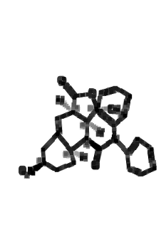 C[C@H]1OC(=O)[C@@H]2C=C3C[C@H]([N+](=O)[O-])CC[C@@H]3[C@H](C(=O)N(c3ccccc3)c3ccccc3)[C@H]12